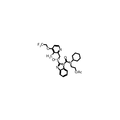 CC(=O)OCCN(C(=O)n1c([S@+]([O-])Cc2nccc(OCC(F)(F)F)c2C)nc2ccccc21)C1CCCCC1